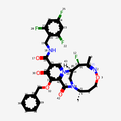 C/C1=N/OCC[C@H](C)N2C[C@H]([C@H]1F)n1cc(C(=O)NCc3c(F)cc(F)cc3F)c(=O)c(OCc3ccccc3)c1C2=O